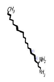 CCCCCCCCCCCCCC/C=C/C=C/C(N)CCN